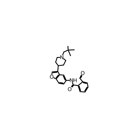 CC(C)(C)CN1CCC(c2coc3ccc(NC(=O)c4ccccc4C=O)cc23)CC1